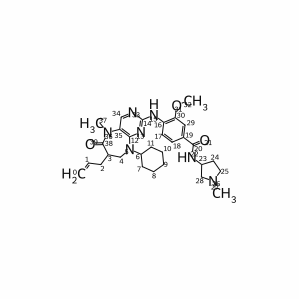 C=CCC1CN(C2CCCCC2)c2nc(Nc3ccc(C(=O)NC4CCN(C)C4)cc3OC)ncc2N(C)C1=O